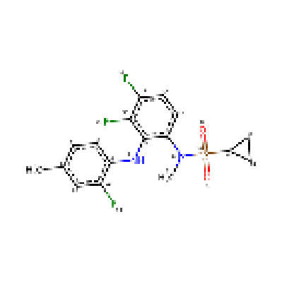 Cc1ccc(Nc2c(N(C)S(=O)(=O)C3CC3)ccc(F)c2F)c(F)c1